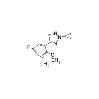 COc1c(C)cc(F)cc1-c1cnn(C2CC2)n1